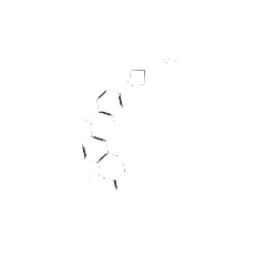 COC1CN(c2ccc(Nc3ccc4c(c3)OCC(=O)N4)c(C)c2)C1